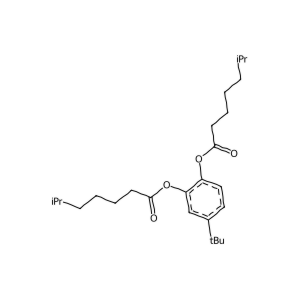 CC(C)CCCCC(=O)Oc1ccc(C(C)(C)C)cc1OC(=O)CCCCC(C)C